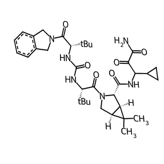 CC(C)(C)[C@H](NC(=O)N[C@H](C(=O)N1C[C@H]2[C@@H]([C@H]1C(=O)NC(C(=O)C(N)=O)C1CC1)C2(C)C)C(C)(C)C)C(=O)N1Cc2ccccc2C1